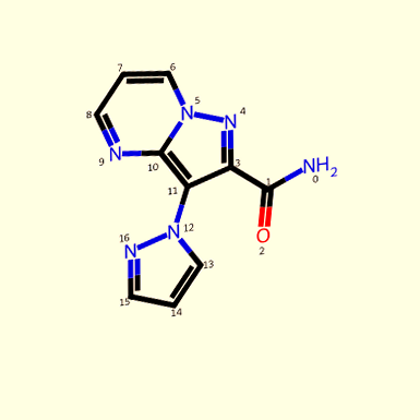 NC(=O)c1nn2cccnc2c1-n1cccn1